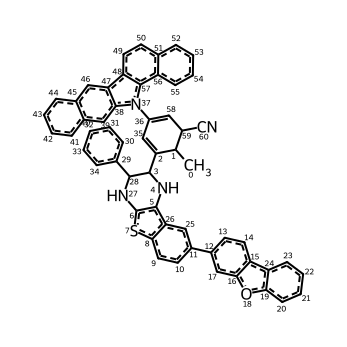 CC1C(C2Nc3c(sc4ccc(-c5ccc6c(c5)oc5ccccc56)cc34)NC2c2ccccc2)=CC(n2c3cc4ccccc4cc3c3ccc4ccccc4c32)=CC1C#N